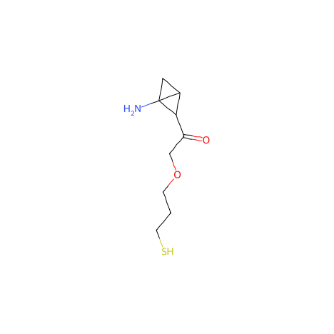 NC12CC1C2C(=O)COCCCS